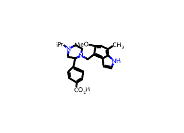 COc1cc(C)c2[nH]ccc2c1CN1CCN(C(C)C)CC1c1ccc(C(=O)O)cc1